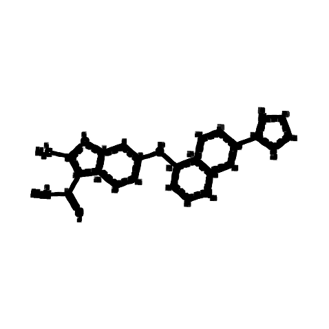 CNC(=O)c1c(C)oc2cc(Oc3ccnc4cc(-c5nccs5)ccc34)ccc12